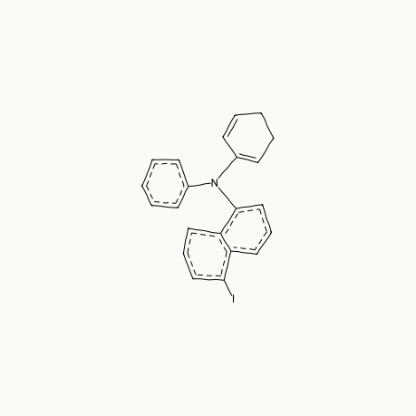 Ic1cccc2c(N(C3=CCCC=C3)c3ccccc3)cccc12